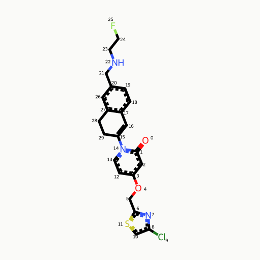 O=c1cc(OCc2nc(Cl)cs2)ccn1C1=Cc2ccc(CNCCF)cc2CC1